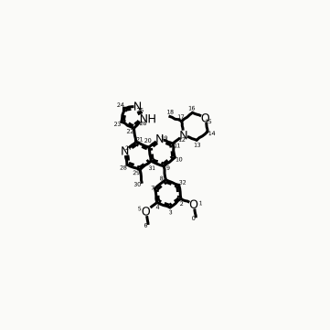 COc1cc(OC)cc(-c2cc(N3CCOCC3C)nc3c(-c4ccn[nH]4)ncc(C)c23)c1